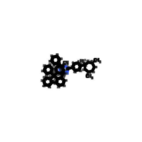 CCC1(c2ccc(-c3nc(-c4ccccc4)nc(-c4cccc5c4C(c4ccccc4)(c4ccc(C#N)cc4)c4ccccc4-5)n3)cc2)C[C@H](C)CC[C@H](C)C1